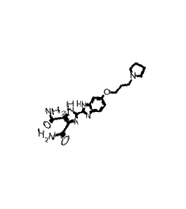 NC(=O)c1nc(-c2nc3ccc(OCCCN4CCCC4)cc3[nH]2)[nH]c1C(N)=O